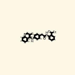 CCC(=O)c1ccccc1NC(=O)Cc1ccc(Nc2c(C)cnc3ccccc23)cc1